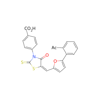 CC(=O)c1ccccc1-c1ccc(C=C2SC(=S)N(c3ccc(C(=O)O)cc3)C2=O)o1